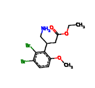 CCOC(=O)CC(CN)c1c(OC)ccc(Br)c1Br